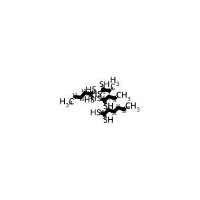 CCC(S)S.CCCC(S)S.CCCCC(S)S.CCCCCC(S)S